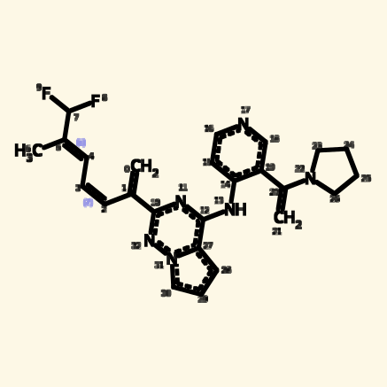 C=C(/C=C\C=C(/C)C(F)F)c1nc(Nc2ccncc2C(=C)N2CCCC2)c2cccn2n1